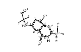 CC(C)(C=O)Nc1cc(F)c2nc(C(C)(F)F)[nH]c(=O)c2c1